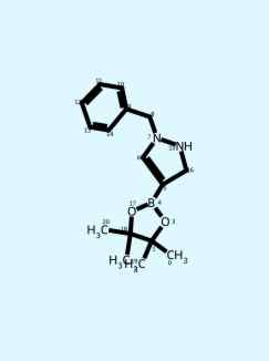 CC1(C)OB(C2=CN(Cc3ccccc3)NC2)OC1(C)C